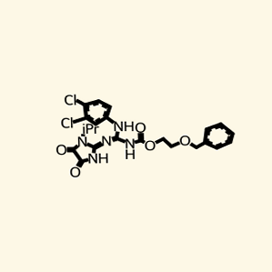 CC(C)N1C(=O)C(=O)NC1=[N+]=C(NC(=O)OCCOCc1ccccc1)Nc1ccc(Cl)c(Cl)c1